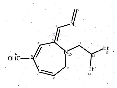 C=N/C=C1/C=C(C=O)C=CCN1CC(CC)CC